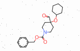 O=CC1(OC2CCCCC2)CCN(C(=O)OCc2ccccc2)CC1